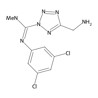 CNC(=Nc1cc(Cl)cc(Cl)c1)n1nnc(CN)n1